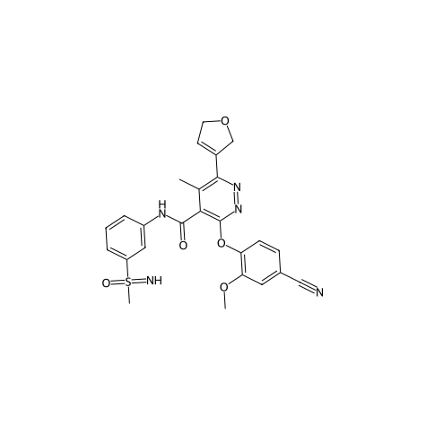 COc1cc(C#N)ccc1Oc1nnc(C2=CCOC2)c(C)c1C(=O)Nc1cccc(S(C)(=N)=O)c1